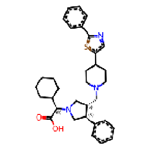 O=C(O)[C@@H](C1CCCCC1)N1C[C@H](CN2CCC(c3cnc(-c4ccccc4)s3)CC2)[C@@H](c2ccccc2)C1